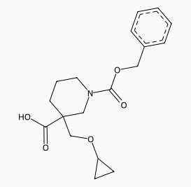 O=C(OCc1ccccc1)N1CCCC(COC2CC2)(C(=O)O)C1